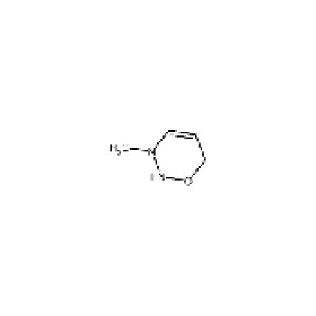 CN1C=[C]CON1